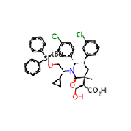 CC(C)(C)[Si](OCC(C1CC1)N1C(=O)[C@@](C)(C(CO)C(=O)O)C[C@H](c2cccc(Cl)c2)[C@H]1c1ccc(Cl)cc1)(c1ccccc1)c1ccccc1